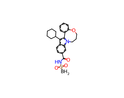 BS(=O)(=O)NC(=O)c1ccc2c(C3CCCCC3)c3n(c2c1)CCCOc1ccccc1-3